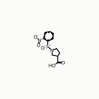 O=C(O)C1CCN([S+]([O-])c2ccccc2[N+](=O)[O-])C1